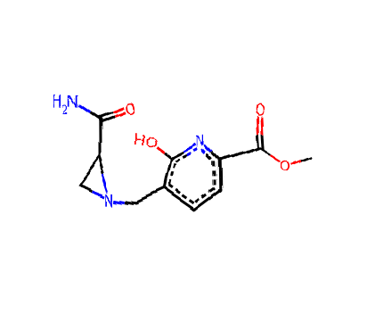 COC(=O)c1ccc(CN2CC2C(N)=O)c(O)n1